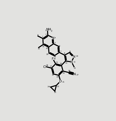 Cc1c(N)nc2cc(-c3cnn(C)c3-c3c(F)c(Cl)cc(OC4CC4)c3C#N)ccc2c1C